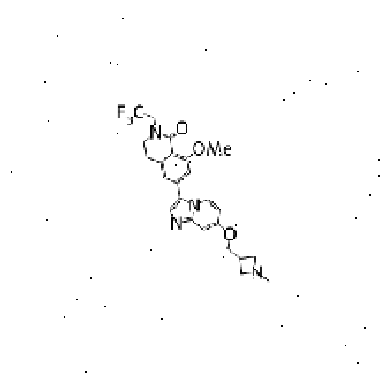 COc1cc(-c2cnc3cc(OCC4CN(C)C4)ccn23)cc2c1C(=O)N(CC(F)(F)F)CC2